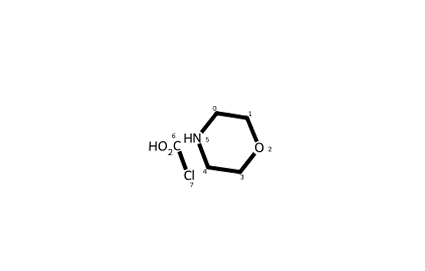 C1COCCN1.O=C(O)Cl